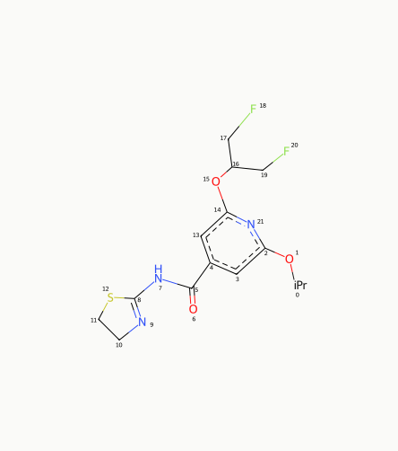 CC(C)Oc1cc(C(=O)NC2=NCCS2)cc(OC(CF)CF)n1